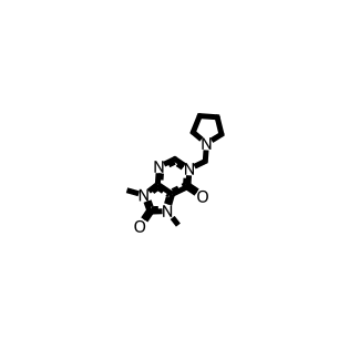 Cn1c(=O)n(C)c2c(=O)n(CN3CCCC3)cnc21